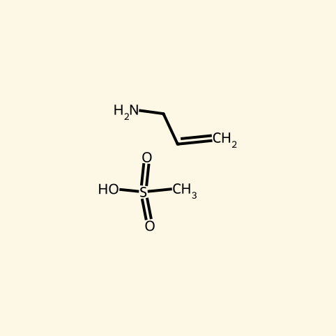 C=CCN.CS(=O)(=O)O